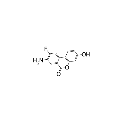 Nc1cc2c(=O)oc3cc(O)ccc3c2cc1F